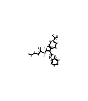 CCCCC(=O)Nc1sc2c(c1-c1nc3ccccc3s1)CCN(C(C)C)C2